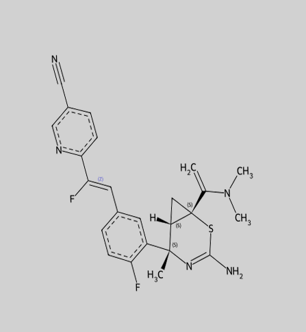 C=C(N(C)C)[C@]12C[C@H]1[C@@](C)(c1cc(/C=C(\F)c3ccc(C#N)cn3)ccc1F)N=C(N)S2